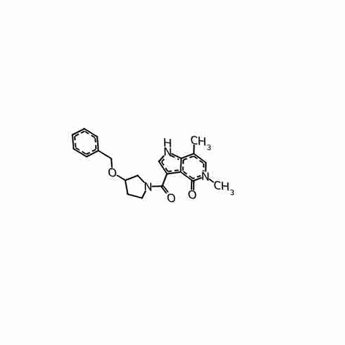 Cc1cn(C)c(=O)c2c(C(=O)N3CCC(OCc4ccccc4)C3)c[nH]c12